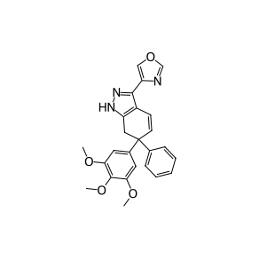 COc1cc(C2(c3ccccc3)C=Cc3c(-c4cocn4)n[nH]c3C2)cc(OC)c1OC